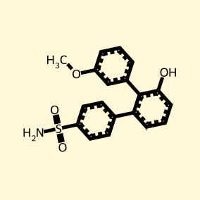 COc1cccc(-c2c(-c3ccc(S(N)(=O)=O)cc3)[c]ccc2O)c1